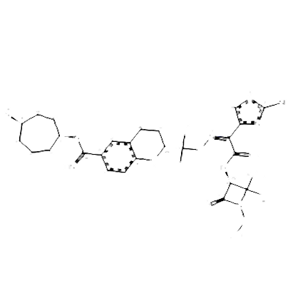 CC(O/N=C(\C(=O)N[C@@H]1C(=O)N(OS(=O)(=O)O)C1(C)C)c1csc(N)n1)(C(=O)O)[C@H]1CCc2cc(C(=N)N[C@H]3CCC[C@@H](N)CC3)ccc2O1